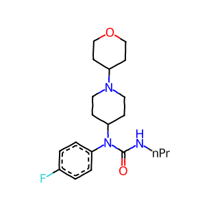 CCCNC(=O)N(c1ccc(F)cc1)C1CCN(C2CCOCC2)CC1